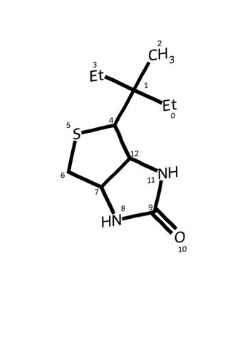 CCC(C)(CC)C1SCC2NC(=O)NC21